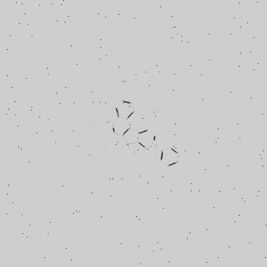 C[n+]1cc2c(c3ccccc31)-c1cc[n+](-c3ccccc3)cc1C2(C)C